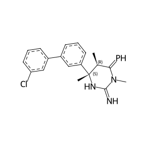 C[C@H]1C(=P)N(C)C(=N)N[C@]1(C)c1cccc(-c2cccc(Cl)c2)c1